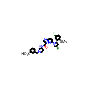 CSc1ccc(F)cc1[C@H]1C[C@H](F)CN1c1ccc2ncc(C(=O)N[C@H]3CCN(Cc4cccc(C(=O)O)c4)C3)n2n1